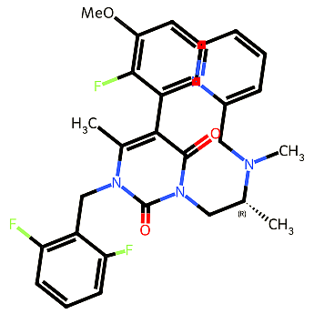 COc1cccc(-c2c(C)n(Cc3c(F)cccc3F)c(=O)n(C[C@@H](C)N(C)Cc3ccccn3)c2=O)c1F